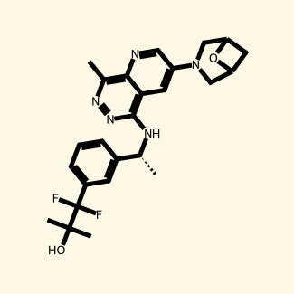 Cc1nnc(N[C@H](C)c2cccc(C(F)(F)C(C)(C)O)c2)c2cc(N3CC4CC(C3)O4)cnc12